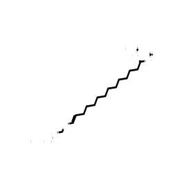 CCCCCCOCOC=CCCCCCCCCCCCC(OCCC)OCCC